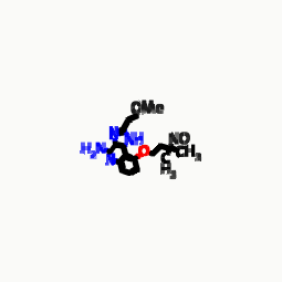 COCCc1nc2c(N)nc3cccc(OCCC(C)(C)N=O)c3c2[nH]1